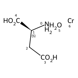 N[C@@H](CC(=O)O)C(=O)O.O.[Cr]